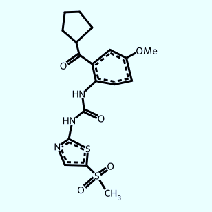 COc1ccc(NC(=O)Nc2ncc(S(C)(=O)=O)s2)c(C(=O)C2CCCC2)c1